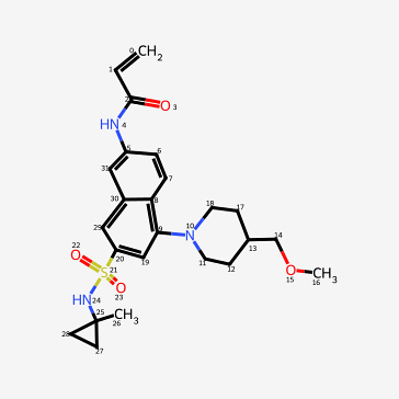 C=CC(=O)Nc1ccc2c(N3CCC(COC)CC3)cc(S(=O)(=O)NC3(C)CC3)cc2c1